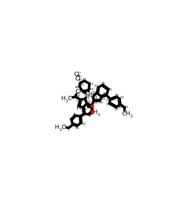 CCc1ccc(-c2cccc3c2C=C(C(C)C)[CH]3[Hf+2]2([CH]3C(C(C)C)=Cc4c(-c5ccc(CC)cc5)cccc43)[CH]3CCCC[CH]32)cc1.[Cl-].[Cl-]